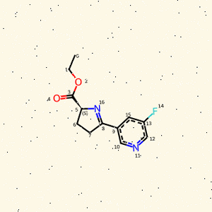 CCOC(=O)[C@@H]1CCC(c2cncc(F)c2)=N1